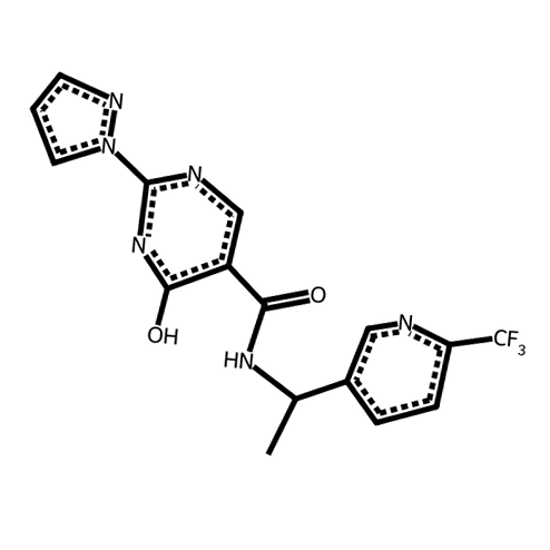 CC(NC(=O)c1cnc(-n2cccn2)nc1O)c1ccc(C(F)(F)F)nc1